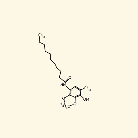 CCCCCCCCCCC(=O)Nc1cc(C)c(O)c(OC)c1OC